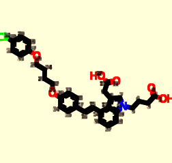 O=C(O)CCCn1cc(CC(=O)O)c2c(C=Cc3ccc(OCCCCOc4ccc(Cl)cc4)cc3)cccc21